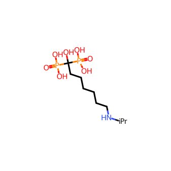 CC(C)NCCCCCCC(O)(P(=O)(O)O)P(=O)(O)O